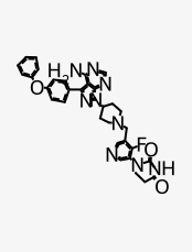 Nc1ncnc2c1c(-c1ccc(Oc3ccccc3)cc1)nn2C1CCN(Cc2cncc(N3CCC(=O)NC3=O)c2F)CC1